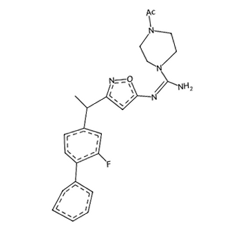 CC(=O)N1CCN(/C(N)=N\c2cc(C(C)c3ccc(-c4ccccc4)c(F)c3)no2)CC1